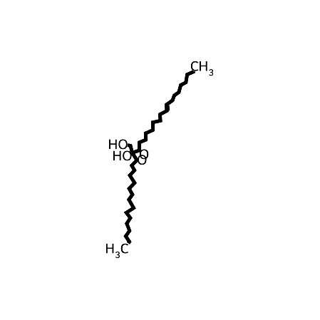 CCCCCCCCC=CCCCCCCCC(=O)C(O)(CO)C(=O)CCCCCCCCCCCCCCC